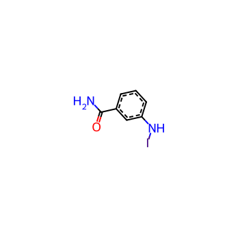 NC(=O)c1cccc(NI)c1